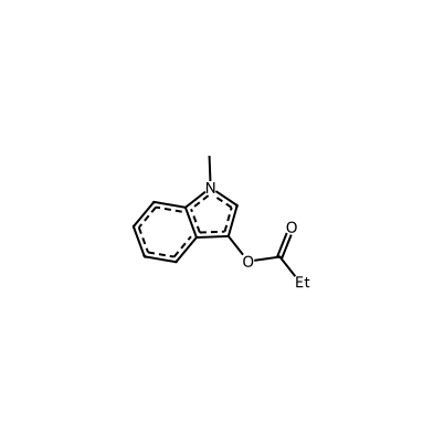 CCC(=O)Oc1cn(C)c2ccccc12